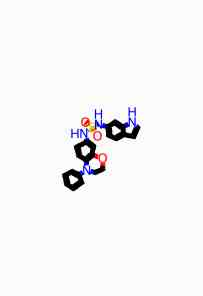 O=S(=O)(Nc1ccc2c(c1)OCCN2c1ccccc1)Nc1ccc2cc[nH]c2c1